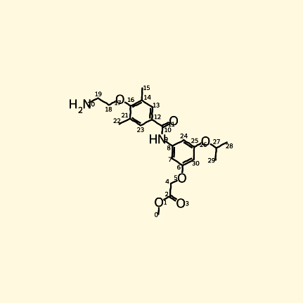 COC(=O)COc1cc(NC(=O)c2cc(C)c(OCCN)c(C)c2)cc(OC(C)C)c1